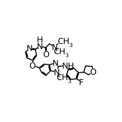 CN(C)CC(=O)Nc1cc(Oc2ccc3c(c2)nc(Nc2ccc(F)c(C4CCOC4)c2)n3C)ccn1